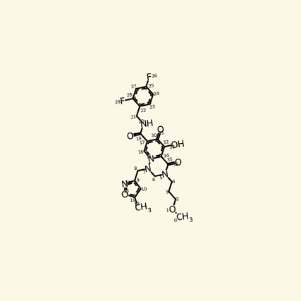 COCCCN1CN(Cc2cc(C)on2)n2cc(C(=O)NCc3ccc(F)cc3F)c(=O)c(O)c2C1=O